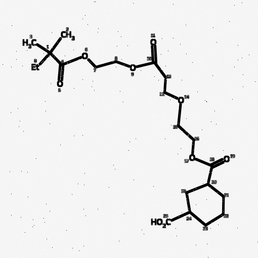 CCC(C)(C)C(=O)OCCOC(=O)CCOCCOC(=O)C1CCCC(C(=O)O)C1